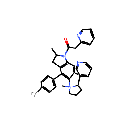 Cc1cc2c(c(-c3ccc(C(F)(F)F)cc3)c1[N+]1(C)CCCC1c1cccnc1)CC(C)N2C(=O)Cc1ccccn1